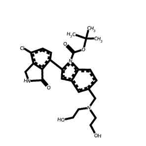 CC(C)(C)OC(=O)n1c(-c2ccc(Cl)c3c2C(=O)NC3)cc2cc(CN(CCO)CCO)ccc21